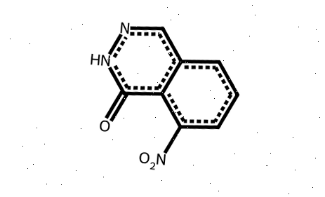 O=c1[nH]ncc2cccc([N+](=O)[O-])c12